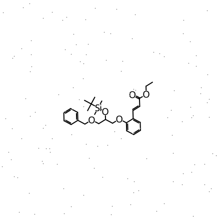 CCOC(=O)/C=C/c1ccccc1OCC(COCc1ccccc1)O[Si](C)(C)C(C)(C)C